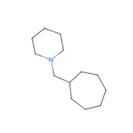 [CH]1CCN(CC2CCCCCC2)CC1